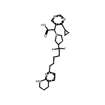 O=C(O)C(c1cncnc1C1CC1)N1CCC(C(F)(F)CCCCc2ccc3c(n2)NCCC3)C1